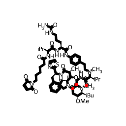 CC[C@H](C)[C@@H]([C@@H](CC(=O)N1CCC[C@H]1[C@H](OC)[C@@H](C)C(=O)N[C@@H](Cc1ccccc1)c1nccs1)OC)N(C)C(=O)[C@@H](NC(=O)[C@H](C(C)C)N(C)CCc1ccc(NC(=O)[C@H](CCCNC(N)=O)NC(=O)[C@@H](NC(=O)CCCCCN2C(=O)C=CC2=O)C(C)C)cc1)C(C)C